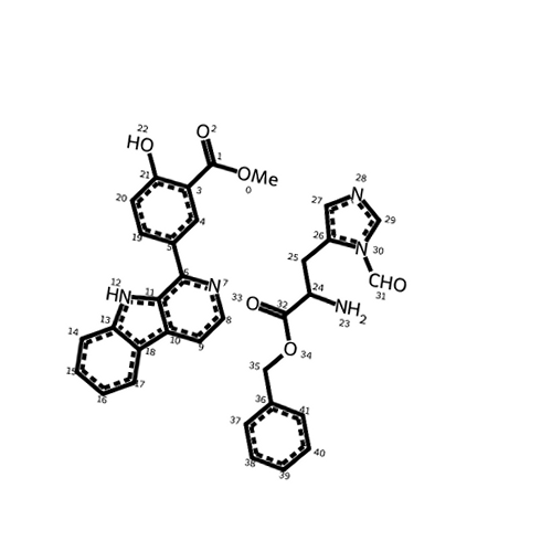 COC(=O)c1cc(-c2nccc3c2[nH]c2ccccc23)ccc1O.NC(Cc1cncn1C=O)C(=O)OCc1ccccc1